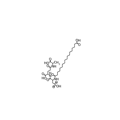 CC(NC(=O)CCC(NC(=O)C(CS(=O)(=O)O)NC(=O)CCCCCCCCCCCCCCCCC(=O)O)C(=O)O)C(=O)O